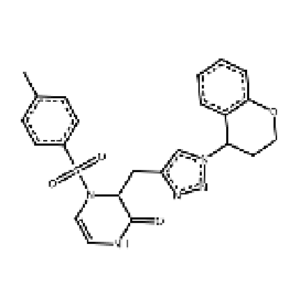 Cc1ccc(S(=O)(=O)N2C=CNC(=O)C2Cc2cn(C3CCOc4ccccc43)nn2)cc1